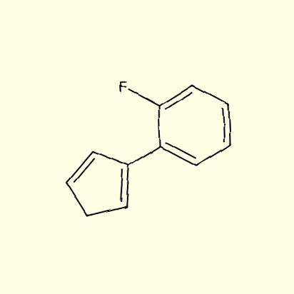 Fc1ccccc1C1=CCC=C1